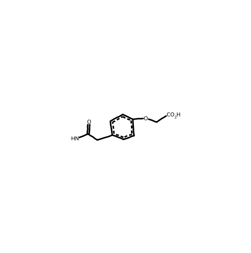 [NH]C(=O)Cc1ccc(OCC(=O)O)cc1